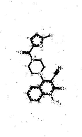 Cn1c(=O)c(C#N)c(N2CCN(C(=O)c3ccc(Br)o3)CC2)c2ccccc21